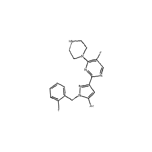 CC(=O)c1cc(-c2ncc(F)c(N3CCNCC3)n2)nn1Cc1ccccc1F